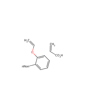 C=CC(=O)O.C=COc1ccccc1CCCCCCCCC